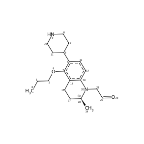 CCCOc1c(C2CCNCC2)ccc2c1CC[C@H](C)N2CC=O